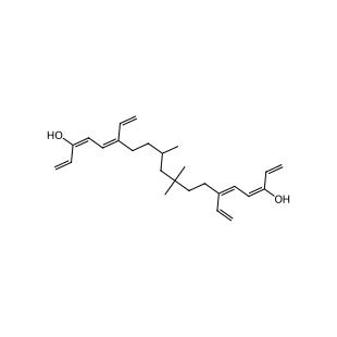 C=C/C(=C\C=C(\O)C=C)CCC(C)CC(C)(C)CC/C(C=C)=C/C=C(/O)C=C